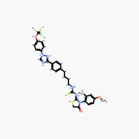 COc1ccc(N2C(=O)CS/C2=N\C(=S)NCCCCc2ccc(-c3ncn(-c4ccc(OC(F)(F)F)cc4)n3)cc2)c(C)c1